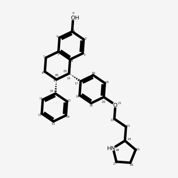 Oc1ccc2c(c1)CC[C@@H](c1ccccc1)[C@H]2c1ccc(OCCC2CCCN2)cc1